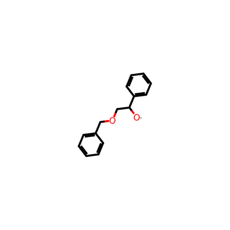 [O]C(COCc1ccccc1)c1ccccc1